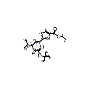 CCOC(=O)c1csc(/C=C/[C@H](C(C)C)N(C)C(=O)OC(C)(C)C)n1